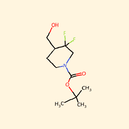 CC(C)(C)OC(=O)N1CCC(CO)C(F)(F)C1